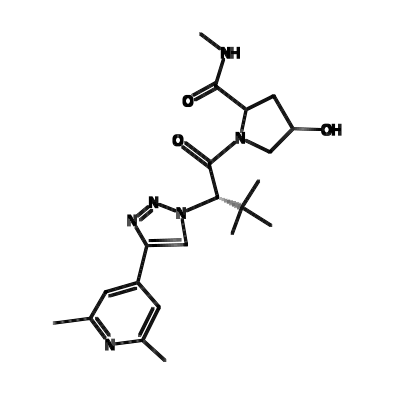 CNC(=O)C1CC(O)CN1C(=O)[C@@H](n1cc(-c2cc(C)nc(C)c2)nn1)C(C)(C)C